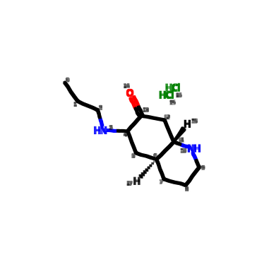 CCCNC1C[C@@H]2CCCN[C@H]2CC1=O.Cl.Cl